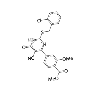 COC(=O)c1ccc(-c2nc(SCc3ccccc3Cl)[nH]c(=O)c2C#N)cc1OC